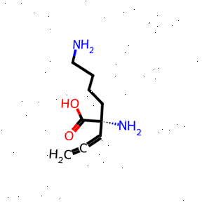 C=C=C[C@](N)(CCCCN)C(=O)O